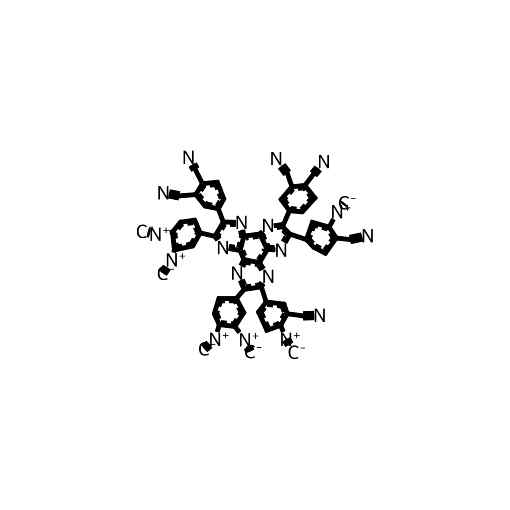 [C-]#[N+]c1ccc(-c2nc3c4nc(-c5ccc(C#N)c([N+]#[C-])c5)c(-c5ccc(C#N)c(C#N)c5)nc4c4nc(-c5ccc(C#N)c(C#N)c5)c(-c5ccc([N+]#[C-])c([N+]#[C-])c5)nc4c3nc2-c2ccc([N+]#[C-])c([N+]#[C-])c2)cc1C#N